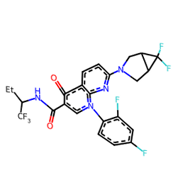 CCC(NC(=O)c1cn(-c2ccc(F)cc2F)c2nc(N3CC4C(C3)C4(F)F)ccc2c1=O)C(F)(F)F